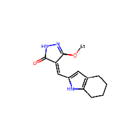 CCOC1=NNC(=O)C1=Cc1cc2c([nH]1)CCCC2